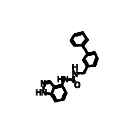 O=C(NCc1cccc(-c2ccccc2)c1)Nc1cccc2[nH]ncc12